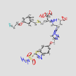 NS(=O)(=O)c1nc2ccc(OCc3cn([C@@H](CCO)CNC(CSCc4cccc(OCCF)c4)C(=O)O)nn3)cc2s1